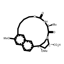 COc1cc2ccc3cc2cc1CCCCOC(=O)N[C@@H](C(C)(C)C)C(=O)N1C[C@@]3(OC)C[C@H]1C(=O)O